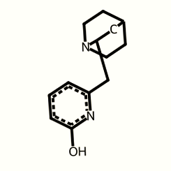 Oc1cccc(CC2CC3CCN2CC3)n1